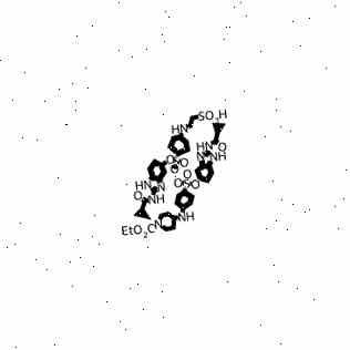 CCOC(=O)N1CCC(Nc2ccc(S(=O)(=O)Oc3ccc4[nH]c(NC(=O)C5CC5)nc4c3)cc2)CC1.O=C(Nc1nc2cc(OS(=O)(=O)c3ccc(NCCS(=O)(=O)O)cc3)ccc2[nH]1)C1CC1